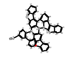 CC(C)(C)c1ccc(N2c3cc4sc5ccccc5c4cc3B3c4c2cc2oc5ccccc5c2c4-c2cccc4c5c6ccccc6sc5n3c24)c(-c2ccccc2)c1